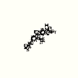 CC(C)S(=O)(=O)Nc1ccc(-c2c(C#N)c3ccc(OC[C@H]4CCCO4)cc3n2C2CCC2)cc1